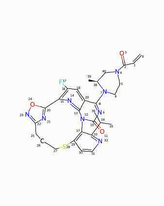 C=CC(=O)N1CCN(c2nc(=O)n3c4nc(c(F)cc24)-c2nc(no2)CCCSc2ccnc(C(C)C)c2-3)[C@@H](C)C1